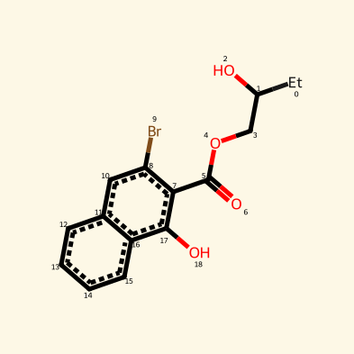 CCC(O)COC(=O)c1c(Br)cc2ccccc2c1O